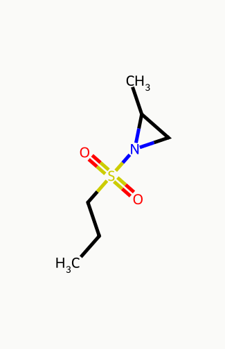 CCCS(=O)(=O)N1CC1C